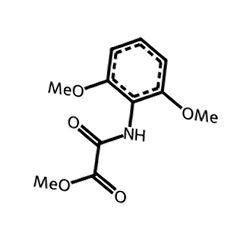 COC(=O)C(=O)Nc1c(OC)cccc1OC